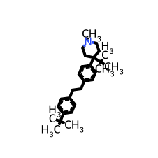 CN1CCC(c2ccc(CCc3ccc(C(C)(C)C)cc3)cc2)(C(C)(C)C)CC1